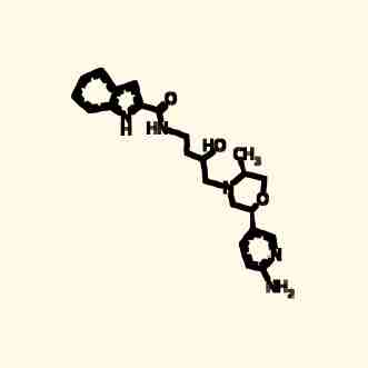 C[C@H]1CO[C@@H](c2ccc(N)nc2)CN1CC(O)CCNC(=O)c1cc2ccccc2[nH]1